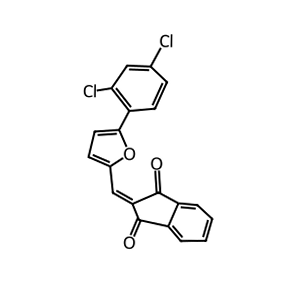 O=C1C(=Cc2ccc(-c3ccc(Cl)cc3Cl)o2)C(=O)c2ccccc21